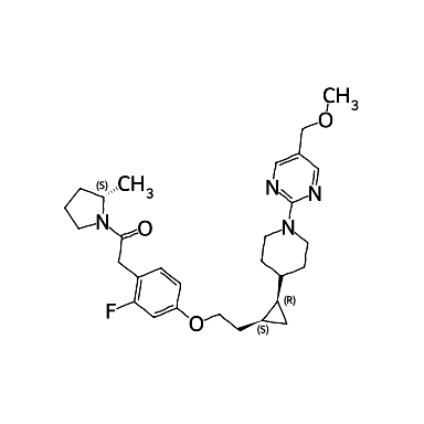 COCc1cnc(N2CCC([C@H]3C[C@H]3CCOc3ccc(CC(=O)N4CCC[C@@H]4C)c(F)c3)CC2)nc1